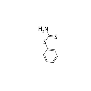 NC(=S)Sc1ccccc1